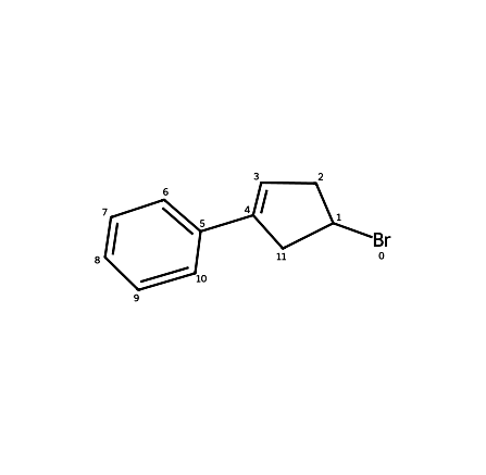 BrC1CC=C(c2ccccc2)C1